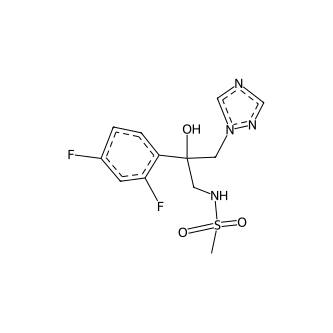 CS(=O)(=O)NCC(O)(Cn1cncn1)c1ccc(F)cc1F